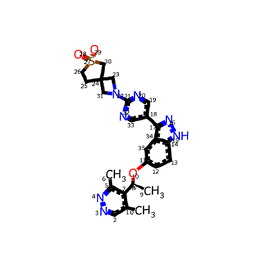 Cc1cnnc(C)c1[C@H](C)Oc1ccc2[nH]nc(-c3cnc(N4CC5(CCS(=O)(=O)C5)C4)nc3)c2c1